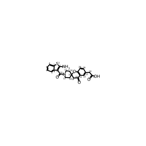 Nc1sc2ccccc2c1C(=O)N1CCC2(CC1)CC(=O)c1cc(CC(=O)O)ccc1O2